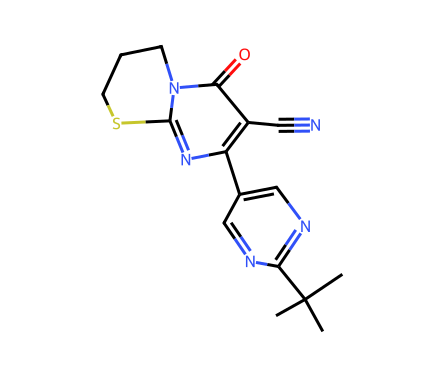 CC(C)(C)c1ncc(-c2nc3n(c(=O)c2C#N)CCCS3)cn1